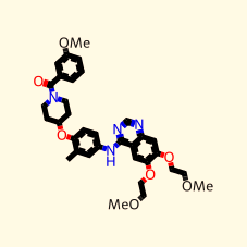 COCCOc1cc2ncnc(Nc3ccc(OC4CCN(C(=O)c5cccc(OC)c5)CC4)c(C)c3)c2cc1OCCOC